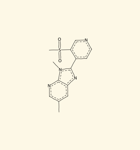 Cc1cnc2c(c1)nc(-c1ccncc1S(C)(=O)=O)n2C